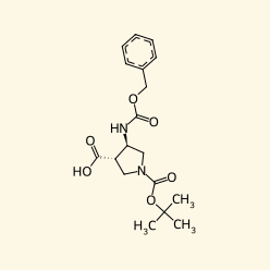 CC(C)(C)OC(=O)N1C[C@H](NC(=O)OCc2ccccc2)[C@@H](C(=O)O)C1